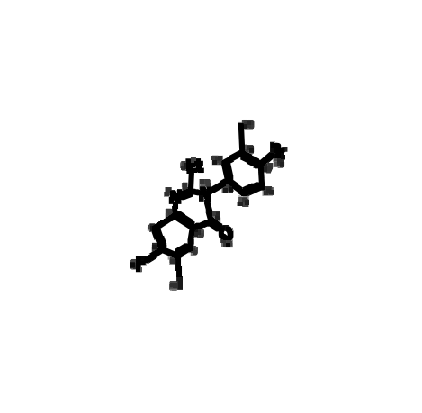 CCc1nc2cc(F)c(I)cc2c(=O)n1-c1ccc(Br)c(C)c1